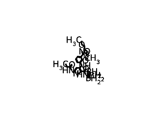 BC(B)(B)NC(=O)c1cnc(NC(=O)CC)cc1Nc1cccc(-c2noc(COCC)n2)c1OC